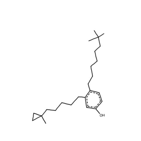 CC(C)(C)CCCCCCc1ccc(O)cc1CCCCCC1(C)CC1